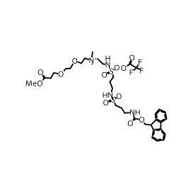 COC(=O)CCOCCOCC[N+](C)(C)CCNS(=O)(=O)CCCNS(=O)(=O)CCCNC(=O)OCC1c2ccccc2-c2ccccc21.O=C([O-])C(F)(F)F